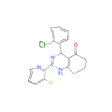 O=C1CCCC2=C1C(c1ccccc1Cl)N=C(c1ncccc1F)N2